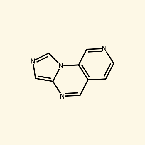 c1cc2cnc3cncn3c2cn1